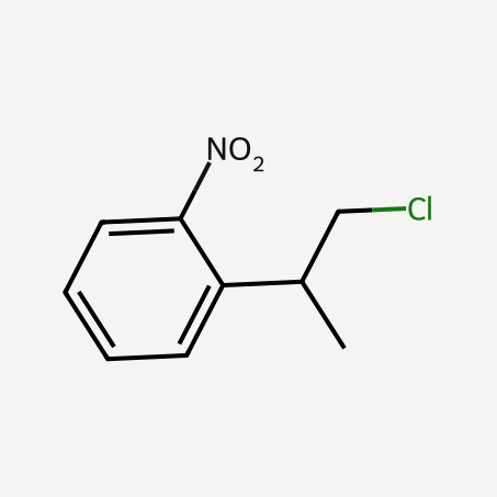 CC(CCl)c1ccccc1[N+](=O)[O-]